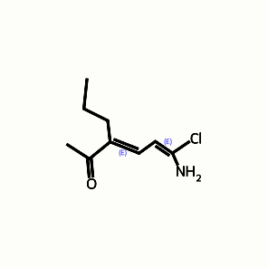 CCC/C(=C\C=C(/N)Cl)C(C)=O